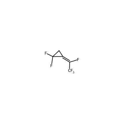 FC(=C1CC1(F)F)C(F)(F)F